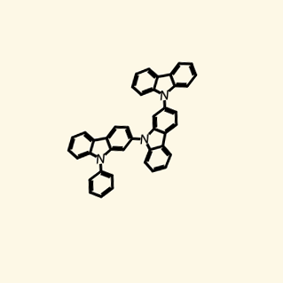 c1ccc(-n2c3ccccc3c3ccc(-n4c5ccccc5c5ccc(-n6c7ccccc7c7ccccc76)cc54)cc32)cc1